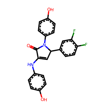 O=C1C(Nc2ccc(O)cc2)=CC(c2ccc(F)c(F)c2)N1c1ccc(O)cc1